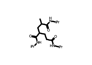 CC(C)NC(=O)CCC(CC(C)C(=O)NC(C)C)C(=O)NC(C)C